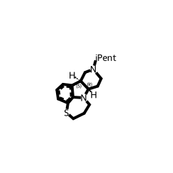 CCCC(C)N1CC[C@@H]2[C@H](C1)c1cccc3c1N2CCCS3